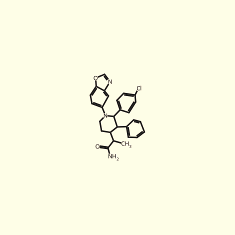 CC(C(N)=O)C1CCN(c2ccc3ocnc3c2)C(c2ccc(Cl)cc2)C1c1ccccc1